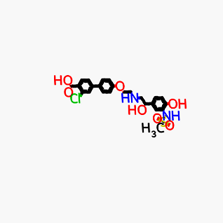 CS(=O)(=O)Nc1cc([C@H](O)CNCCOc2ccc(-c3ccc(C(=O)O)c(Cl)c3)cc2)ccc1O